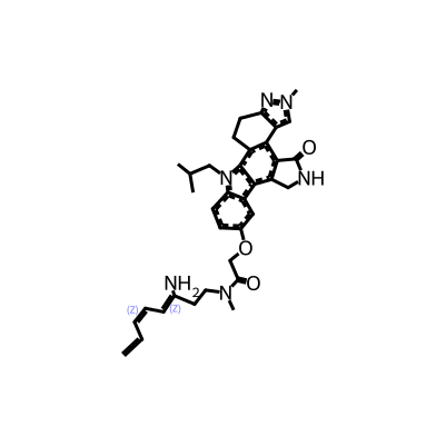 C=C/C=C\C=C(/N)CCN(C)C(=O)COc1ccc2c(c1)c1c3c(c4c(c1n2CC(C)C)CCc1nn(C)cc1-4)C(=O)NC3